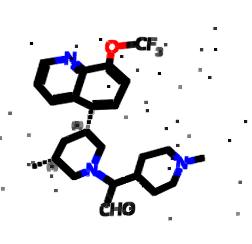 C[C@@H]1C[C@H](c2ccc(OC(F)(F)F)c3ncccc23)CN(C(C=O)C2CCN(C)CC2)C1